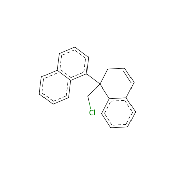 ClCC1(c2cccc3ccccc23)CC=Cc2ccccc21